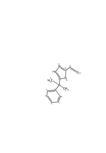 CC(C)(c1ccccc1)c1nnc(C=O)o1